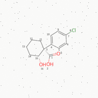 O=C(O)[C@@]1(c2ccc(Cl)cc2)CCCC[C@H]1O